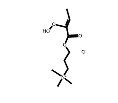 CC=C(OO)C(=O)OCCC[N+](C)(C)C.[Cl-]